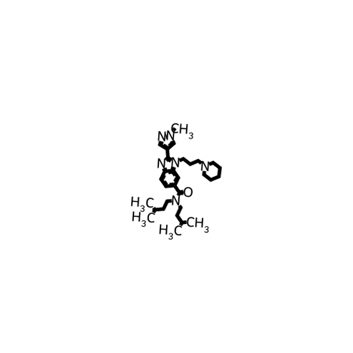 CC(C)CCN(CCC(C)C)C(=O)c1ccc2nc(-c3cnn(C)c3)n(CCCN3CCCCC3)c2c1